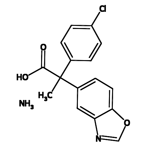 CC(C(=O)O)(c1ccc(Cl)cc1)c1ccc2ocnc2c1.N